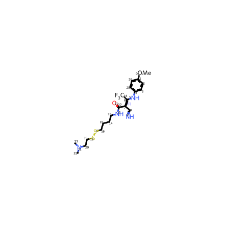 COc1ccc(N/C(=C(\C=N)C(=O)NCCCCSSCCN(C)C)C(F)(F)F)cc1